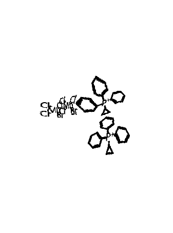 [Cl][Mn-]([Cl])([Cl])[Br].[Cl][Mn-]([Cl])([Cl])[Br].c1ccc([P+](c2ccccc2)(c2ccccc2)C2CC2)cc1.c1ccc([P+](c2ccccc2)(c2ccccc2)C2CC2)cc1